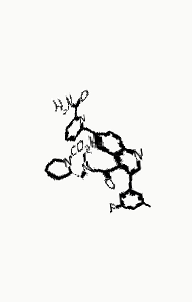 Cc1cc(F)cc(-c2cnc3ccc(-c4cccc(C(N)=O)n4)cc3c2C(=O)N(C)C[C@@H]2CCCN2C(=O)O)c1